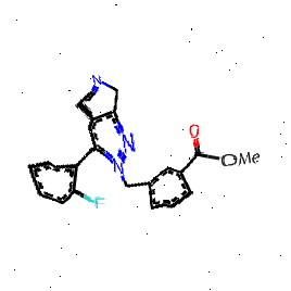 COC(=O)c1cccc(Cn2nc3c(c2-c2ccccc2F)C=NC3)c1